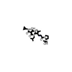 Cc1nn2c(O)c(C(=O)NC3CC3)c(=O)n(CC(C)C)c2c1/C=C/C(=O)N1CCC[C@@H]1C(C)(C)O